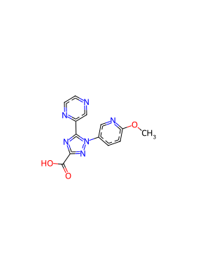 COc1ccc(-n2nc(C(=O)O)nc2-c2cnccn2)cn1